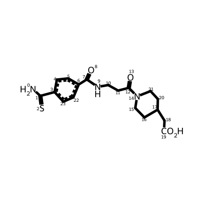 NC(=S)c1ccc(C(=O)NCCC(=O)N2CCC(CC(=O)O)CC2)cc1